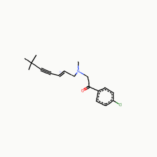 CN(C/C=C/C#CC(C)(C)C)CC(=O)c1ccc(Cl)cc1